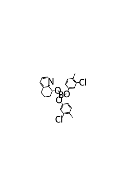 Cc1ccc(OB(Oc2ccc(C)c(Cl)c2)OC2CCCc3cccnc32)cc1Cl